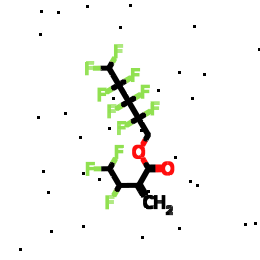 C=C(C(=O)OCC(F)(F)C(F)(F)C(F)(F)C(F)F)C(F)C(F)F